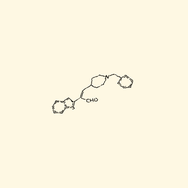 O=CC(=CC1CCN(Cc2ccccc2)CC1)c1cc2ccccc2s1